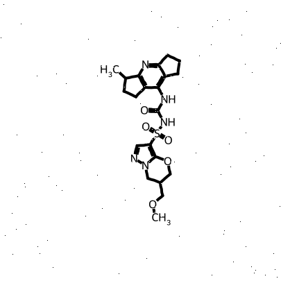 COCC1COc2c(S(=O)(=O)NC(=O)Nc3c4c(nc5c3CCC5C)CCC4)cnn2C1